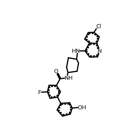 O=C(NC1CCC(Nc2ccnc3cc(Cl)ccc23)CC1)c1cc(F)cc(-c2cccc(O)c2)c1